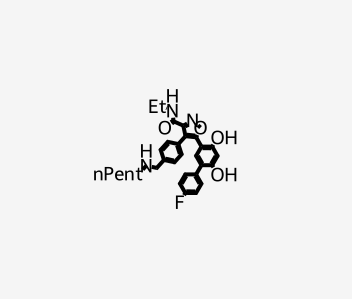 CCCCCNCc1ccc(-c2c(C(=O)NCC)noc2-c2cc(-c3ccc(F)cc3)c(O)cc2O)cc1